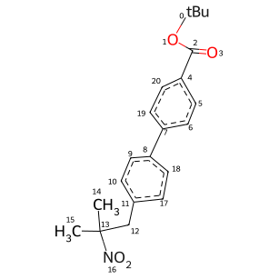 CC(C)(C)OC(=O)c1ccc(-c2ccc(CC(C)(C)[N+](=O)[O-])cc2)cc1